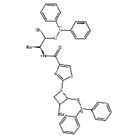 CC[C@H](C)[C@H](NC(=O)c1csc(N2CC(C(C)(C)C)C2O[SiH](c2ccccc2)c2ccccc2)n1)C(O[SiH](c1ccccc1)c1ccccc1)C(C)(C)C